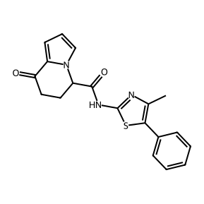 Cc1nc(NC(=O)C2CCC(=O)c3cccn32)sc1-c1ccccc1